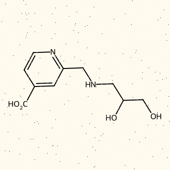 O=C(O)c1ccnc(CNCC(O)CO)c1